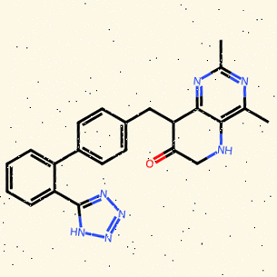 Cc1nc(C)c2c(n1)C(Cc1ccc(-c3ccccc3-c3nnn[nH]3)cc1)C(=O)CN2